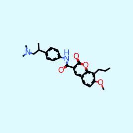 CCCc1c(OC)ccc2cc(C(=O)Nc3ccc(C(C)CN(C)C)cc3)c(=O)oc12